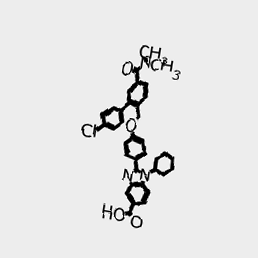 CN(C)C(=O)c1ccc(COc2ccc(-c3nc4cc(C(=O)O)ccc4n3C3CCCCC3)cc2)c(-c2ccc(Cl)cc2)c1